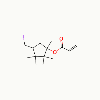 C=CC(=O)OC1(C)CC(CI)C(C)(C)C1(C)C